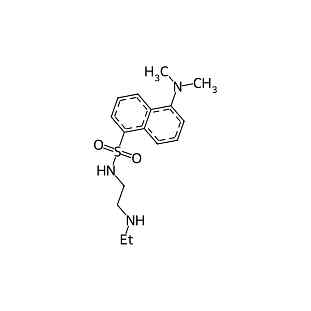 CCNCCNS(=O)(=O)c1cccc2c(N(C)C)cccc12